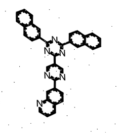 c1ccc2cc(-c3nc(-c4cnc(-c5ccc6cccnc6c5)nc4)nc(-c4ccc5ccccc5c4)n3)ccc2c1